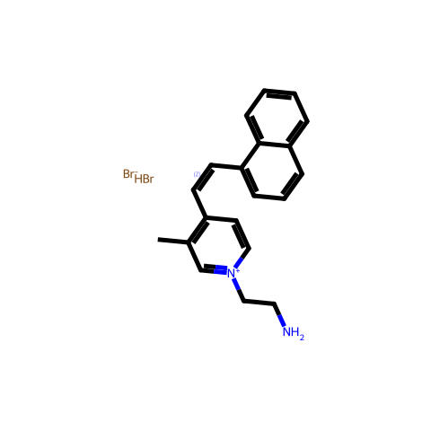 Br.Cc1c[n+](CCN)ccc1/C=C\c1cccc2ccccc12.[Br-]